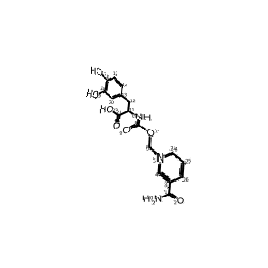 NC(=O)C1=CN(COC(=O)NC(Cc2ccc(O)c(O)c2)C(=O)O)CC=C1